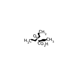 C=CCP(=O)(CC=C)C(C#CC)C(=O)O